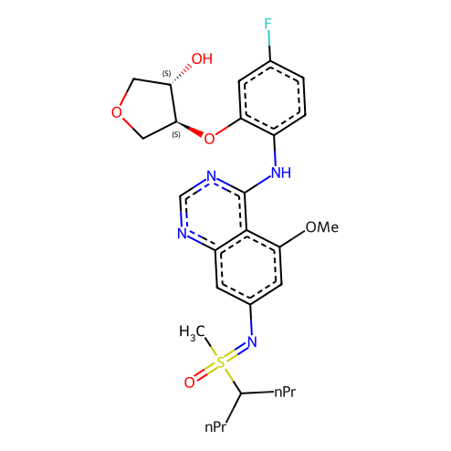 CCCC(CCC)S(C)(=O)=Nc1cc(OC)c2c(Nc3ccc(F)cc3O[C@H]3COC[C@@H]3O)ncnc2c1